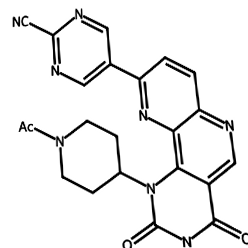 CC(=O)N1CCC(n2c(=O)[nH]c(=O)c3cnc4ccc(-c5cnc(C#N)nc5)nc4c32)CC1